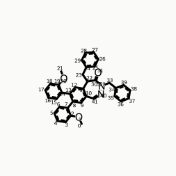 COc1ccccc1-c1cc2c(cc1-c1ccccc1OC)C(Cc1ccccc1)C(=O)N(Cc1ccccc1)N=C2